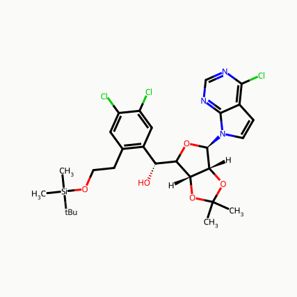 CC1(C)O[C@@H]2[C@H](O1)C([C@H](O)c1cc(Cl)c(Cl)cc1CCO[Si](C)(C)C(C)(C)C)O[C@H]2n1ccc2c(Cl)ncnc21